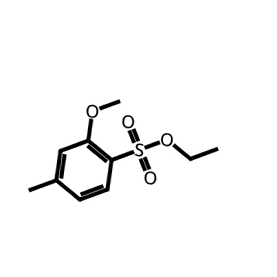 CCOS(=O)(=O)c1ccc(C)cc1OC